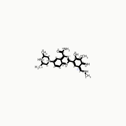 CN/C=C1/C=C(c2nc(C(N)=O)c3cc(N4CC(C)NC(C)C4)ccc3n2)C(O)=C(C)C1=N